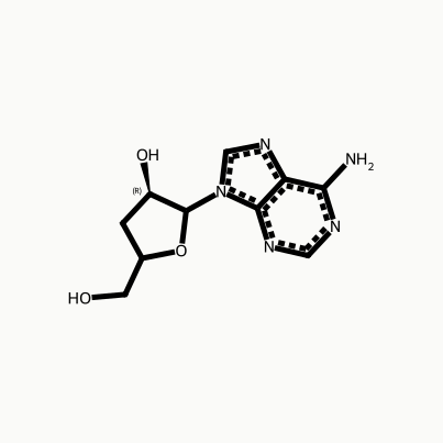 Nc1ncnc2c1ncn2C1OC(CO)C[C@H]1O